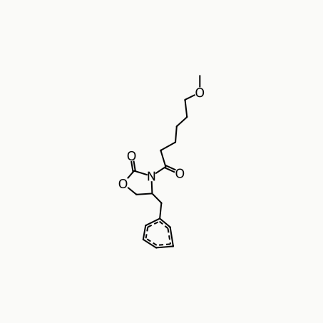 COCCCCCC(=O)N1C(=O)OCC1Cc1ccccc1